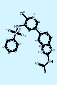 CC(=O)Nc1nc2ccc(-c3cnc(Cl)c(NS(=O)(=O)c4ccccc4)c3)cc2s1